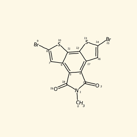 CN1C(=O)c2c(c3cc(Br)sc3c3sc(Br)cc23)C1=O